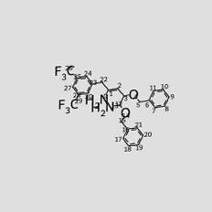 N/C(=C\C(OCc1ccccc1)C(N)OCc1ccccc1)Cc1cc(C(F)(F)F)cc(C(F)(F)F)c1